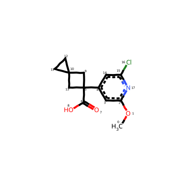 COc1cc(C2(C(=O)O)CC3(CC3)C2)cc(Cl)n1